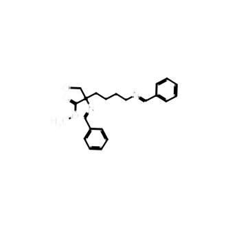 COC(=O)C(CCl)(CCCCN=Cc1ccccc1)N=Cc1ccccc1